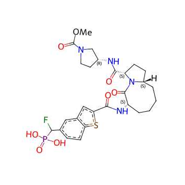 COC(=O)N1CC[C@@H](NC(=O)[C@@H]2CC[C@@H]3CCCC[C@H](NC(=O)c4cc5cc(C(F)P(=O)(O)O)ccc5s4)C(=O)N32)C1